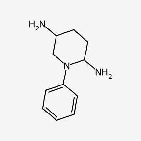 NC1CCC(N)N(c2ccccc2)C1